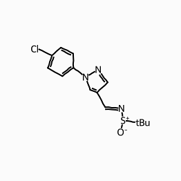 CC(C)(C)[S+]([O-])/N=C/c1cnn(-c2ccc(Cl)cc2)c1